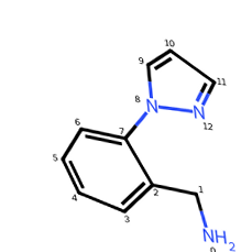 NCc1ccccc1-n1cccn1